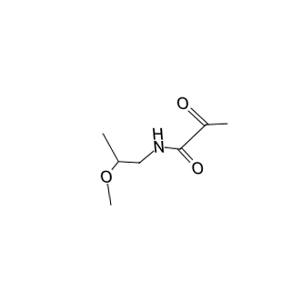 COC(C)CNC(=O)C(C)=O